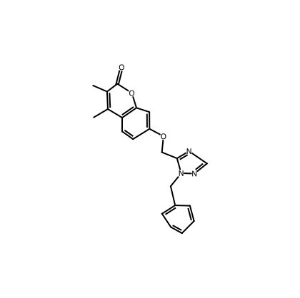 Cc1c(C)c2ccc(OCc3ncnn3Cc3ccccc3)cc2oc1=O